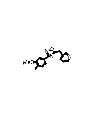 COc1cc(-c2noc(Cc3cccnc3)n2)ccc1C